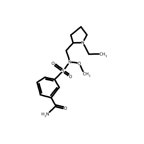 CCN1CCCC1CN(OC)S(=O)(=O)c1cccc(C(N)=O)c1